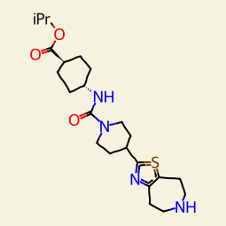 CC(C)OC(=O)[C@H]1CC[C@H](NC(=O)N2CCC(c3nc4c(s3)CCNCC4)CC2)CC1